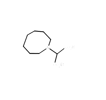 CCOC(=O)C(C(=O)O)N1CCCCCCC1